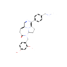 CNCc1ccc(C2=C3CCC4N(Cc5ccc(OC)cc5OC)C(=O)CC=C(C=N2)N34)cc1